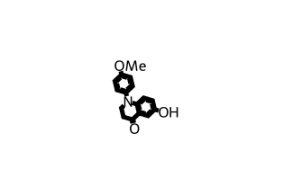 COc1ccc(N2CCC(=O)c3cc(O)ccc32)cc1